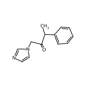 CC(C(=O)Cn1ccnc1)c1ccccc1